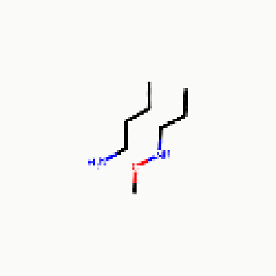 CCCCN.CCCNOC